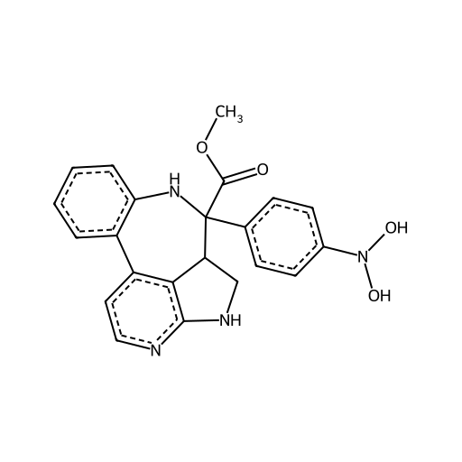 COC(=O)C1(c2ccc(N(O)O)cc2)Nc2ccccc2-c2ccnc3c2C1CN3